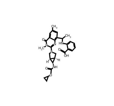 Cc1cc(C(C)Nc2ccccc2C(=O)O)c2nc(N3C[C@@H]4[C@H](C3)[C@@H]4NC(=O)OC3CC3)n(C)c(=O)c2c1